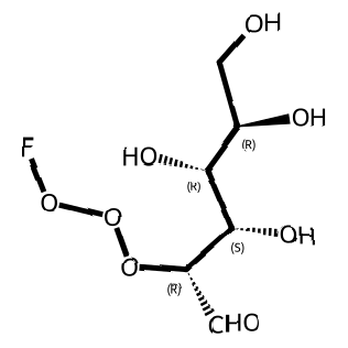 O=C[C@H](OOOF)[C@@H](O)[C@H](O)[C@H](O)CO